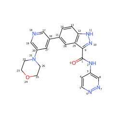 O=C(Nc1ccnnc1)c1n[nH]c2ccc(-c3cncc(N4CCOCC4)c3)cc12